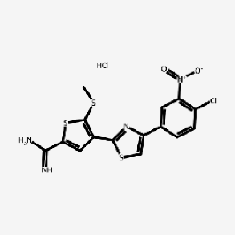 CSc1sc(C(=N)N)cc1-c1nc(-c2ccc(Cl)c([N+](=O)[O-])c2)cs1.Cl